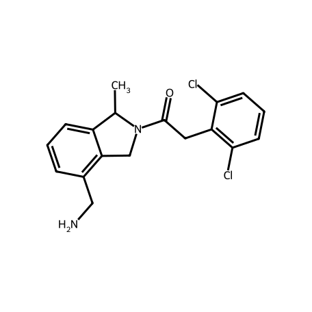 CC1c2cccc(CN)c2CN1C(=O)Cc1c(Cl)cccc1Cl